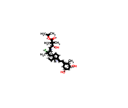 CC(C)OC(=O)C(C)(C)[C@H](O)/C=C/[C@@](C)(F)[C@H]1CC[C@H]2/C(=C/C=C3C[C@@H](O)C[C@@H](O)[C@@H]3C)CC[C@@]21C